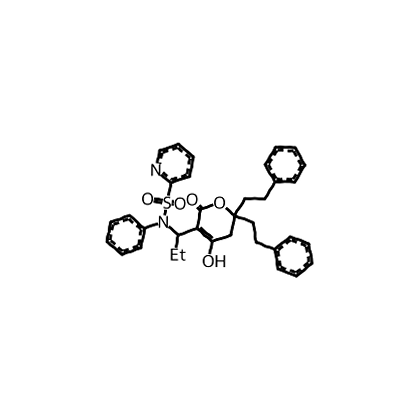 CCC(C1=C(O)CC(CCc2ccccc2)(CCc2ccccc2)OC1=O)N(c1ccccc1)S(=O)(=O)c1ccccn1